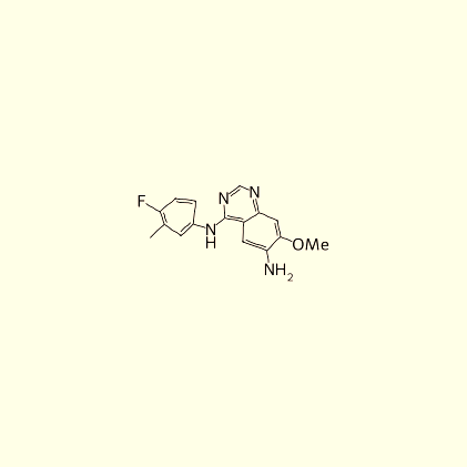 COc1cc2ncnc(Nc3ccc(F)c(C)c3)c2cc1N